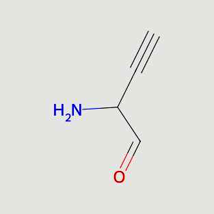 C#CC(N)C=O